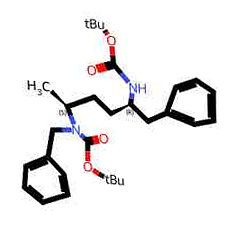 C[C@@H](CC[C@H](Cc1ccccc1)NC(=O)OC(C)(C)C)N(Cc1ccccc1)C(=O)OC(C)(C)C